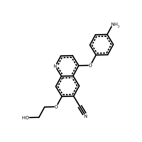 N#Cc1cc2c(Oc3ccc(N)cc3)ccnc2cc1OCCO